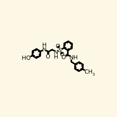 Cc1ccc(CNC(=O)c2ccccc2S(=O)(=O)NCC(=O)Nc2ccc(O)cc2)cc1